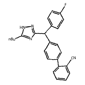 CCCCc1nc(C(c2ccc(F)cc2)c2ccc(-c3ccccc3C#N)cc2)n[nH]1